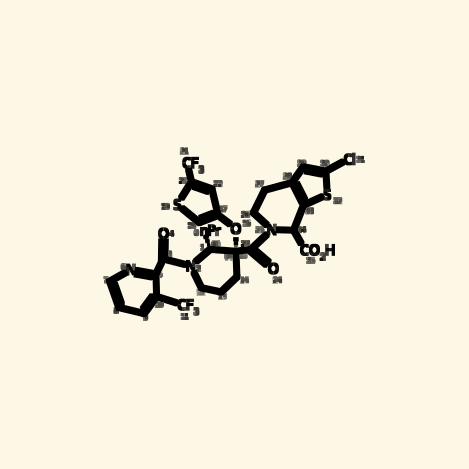 CCC[C@H]1N(C(=O)c2ncccc2C(F)(F)F)CCC[C@]1(Oc1csc(C(F)(F)F)c1)C(=O)N1CCc2cc(Cl)sc2C1C(=O)O